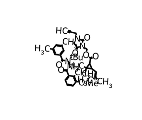 C#CCN1CC(=O)N(COC(=O)C2C(C=C(C)C)C2(C)C)C1=O.COc1cccc(C(=O)NN(C(=O)c2cc(C)cc(C)c2)C(C)(C)C)c1C